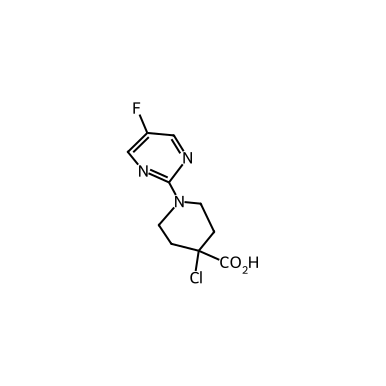 O=C(O)C1(Cl)CCN(c2ncc(F)cn2)CC1